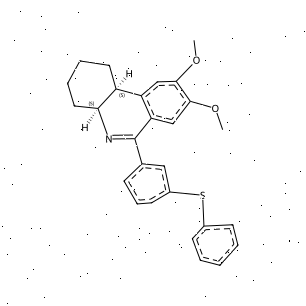 COc1cc2c(cc1OC)[C@@H]1CCCC[C@@H]1N=C2c1cccc(Sc2ccccc2)c1